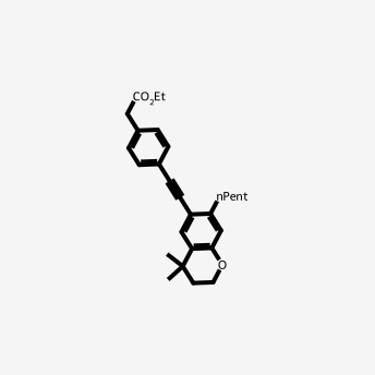 CCCCCc1cc2c(cc1C#Cc1ccc(CC(=O)OCC)cc1)C(C)(C)CCO2